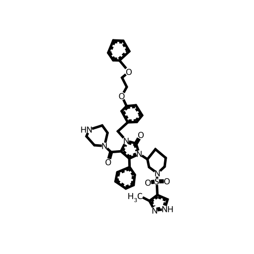 Cc1n[nH]cc1S(=O)(=O)N1CCCC(n2c(-c3ccccc3)c(C(=O)N3CCNCC3)n(Cc3cccc(OCCOc4ccccc4)c3)c2=O)C1